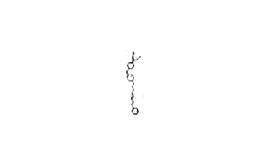 O=C(/C=C/c1cccnc1)NCCCCC1CCN(C(=O)c2ccc(N(CCCl)CCCl)cc2)CC1